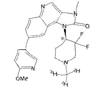 [2H]C([2H])([2H])N1CC[C@@H](n2c(=O)n(C)c3cnc4ccc(-c5ccc(OC)nc5)cc4c32)C(F)(F)C1